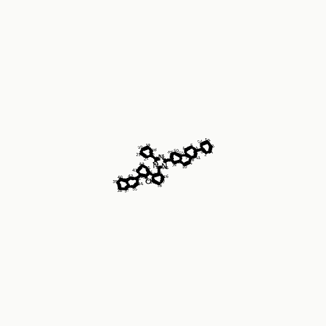 c1ccc(-c2ccc3c(ccc4cc(-c5nc(-c6ccccc6)nc(-c6cccc7oc8c(-c9ccc%10ccccc%10c9)cccc8c67)n5)ccc43)c2)cc1